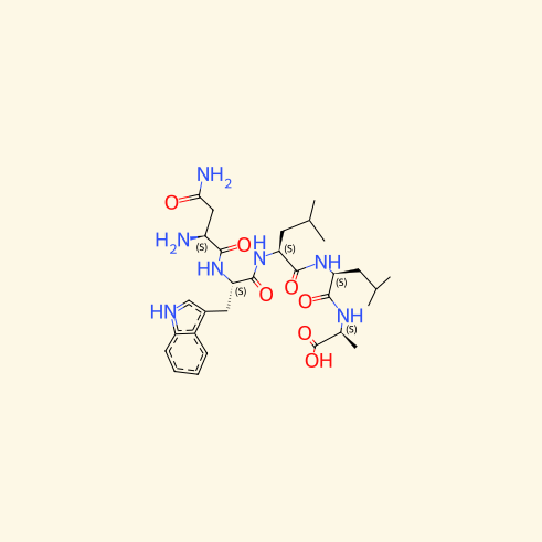 CC(C)C[C@H](NC(=O)[C@H](CC(C)C)NC(=O)[C@H](Cc1c[nH]c2ccccc12)NC(=O)[C@@H](N)CC(N)=O)C(=O)N[C@@H](C)C(=O)O